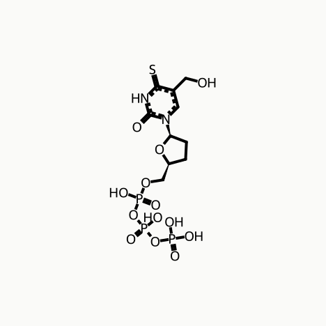 O=c1[nH]c(=S)c(CO)cn1[C@H]1CC[C@@H](COP(=O)(O)OP(=O)(O)OP(=O)(O)O)O1